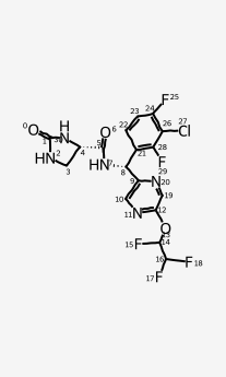 O=C1NC[C@@H](C(=O)N[C@@H](c2cnc(OC(F)C(F)F)cn2)c2ccc(F)c(Cl)c2F)N1